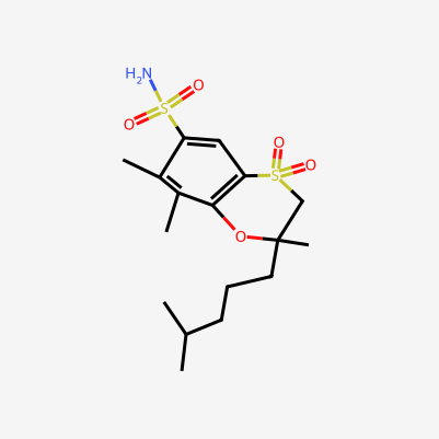 Cc1c(S(N)(=O)=O)cc2c(c1C)OC(C)(CCCC(C)C)CS2(=O)=O